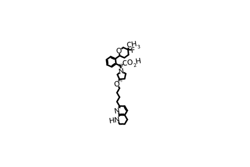 CC1(F)CCC(c2ccccc2[C@H](C(=O)O)N2CC[C@@H](OCCCCc3ccc4c(n3)NCCC4)C2)OC1